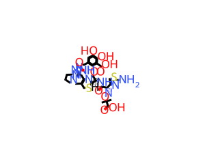 CC(C)(O/N=C(\C(=O)N[C@@H]1C(=O)N2C(c3nnn[nH]3)=C(C[N+]3(CCNC(=O)c4cc(O)c(O)c(C(=O)O)c4)CCCC3)CS[C@H]12)c1csc(N)n1)C(=O)O